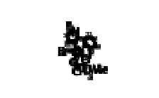 COC(=O)C(C)Oc1nn(-c2ccccc2F)c(-c2ccc(F)nc2)c1Br